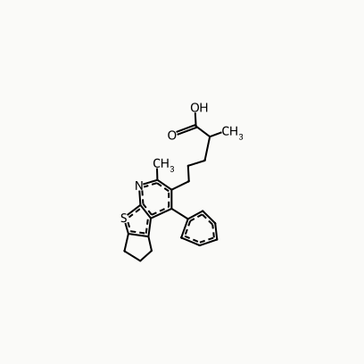 Cc1nc2sc3c(c2c(-c2ccccc2)c1CCCC(C)C(=O)O)CCC3